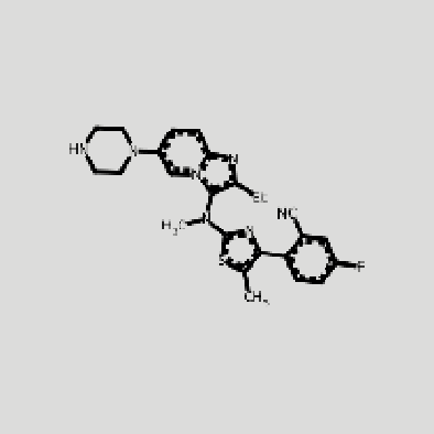 CCc1nc2ccc(N3CCNCC3)cn2c1N(C)c1nc(-c2ccc(F)cc2C#N)c(C)s1